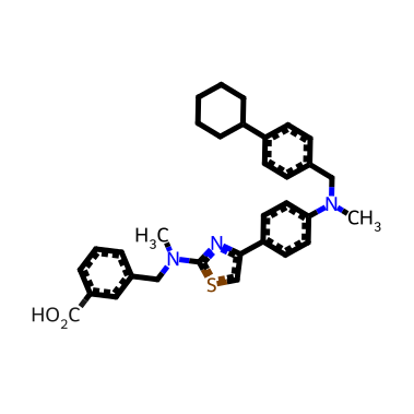 CN(Cc1ccc(C2CCCCC2)cc1)c1ccc(-c2csc(N(C)Cc3cccc(C(=O)O)c3)n2)cc1